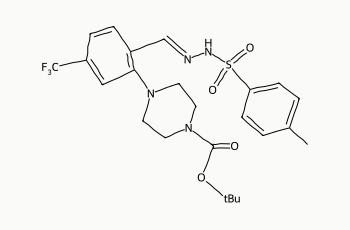 Cc1ccc(S(=O)(=O)N/N=C/c2ccc(C(F)(F)F)cc2N2CCN(C(=O)OC(C)(C)C)CC2)cc1